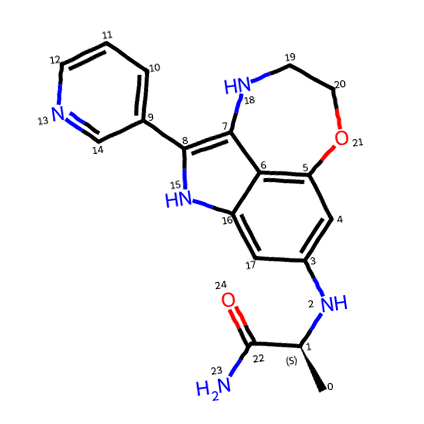 C[C@H](Nc1cc2c3c(c(-c4cccnc4)[nH]c3c1)NCCO2)C(N)=O